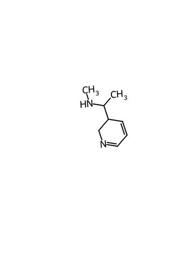 CNC(C)C1C=CC=NC1